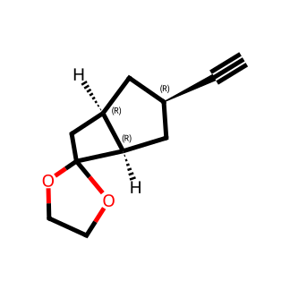 C#C[C@@H]1C[C@@H]2CC3(OCCO3)[C@@H]2C1